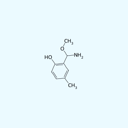 COC(N)c1cc(C)ccc1O